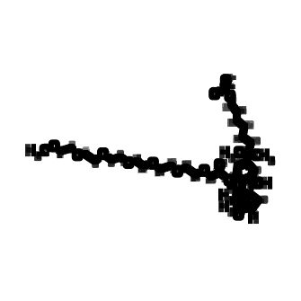 COCCOCCOCCOCCOCCOCCOCC(=O)Oc1cc(C(C)(C)CCCCCCO[N+](=O)[O-])cc(O)c1[C@@H]1CC(=O)[C@@H]2C[C@H]1C2(C)C